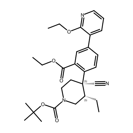 CCOC(=O)c1cc(-c2cccnc2OCC)ccc1[C@]1(C#N)CCN(C(=O)OC(C)(C)C)C[C@H]1CC